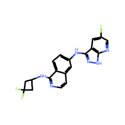 Fc1cnc2[nH]nc(Nc3ccc4c(NC5CC(F)(F)C5)nccc4c3)c2c1